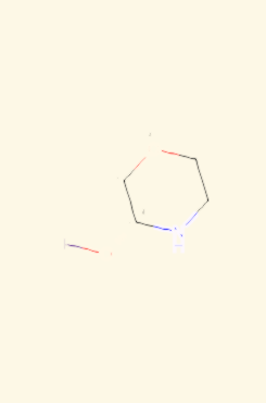 IO[C@@H]1COCCN1